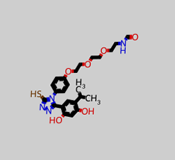 CC(C)c1cc(-c2nnc(S)n2-c2ccc(OCCOCCOCCNC=O)cc2)c(O)cc1O